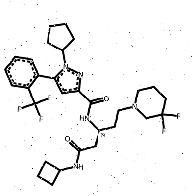 O=C(C[C@H](CCN1CCCC(F)(F)C1)NC(=O)c1cc(-c2ccccc2C(F)(F)F)n(C2CCCC2)n1)NC1CCC1